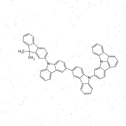 CC1(C)c2ccccc2-c2ccc(-n3c4ccccc4c4cc(-c5ccc6c(c5)c5ccccc5n6-c5ccc6c7cccc8c9ccccc9n(c6c5)c87)ccc43)cc21